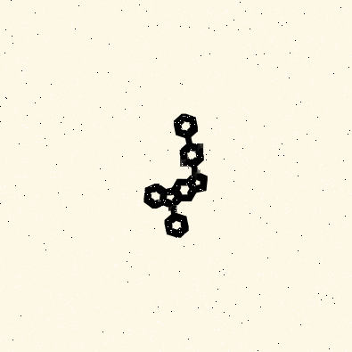 c1ccc(-c2cnc(-n3ccc4cc5c(cc43)c3ccccc3n5-c3ccccc3)cn2)cc1